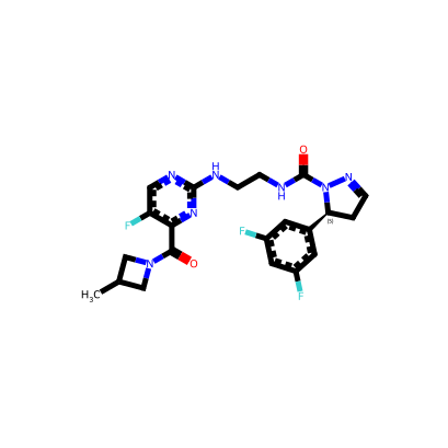 CC1CN(C(=O)c2nc(NCCNC(=O)N3N=CC[C@H]3c3cc(F)cc(F)c3)ncc2F)C1